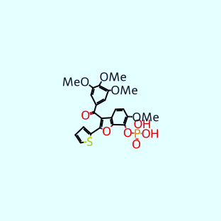 COc1cc(C(=O)c2c(-c3cccs3)oc3c(OP(=O)(O)O)c(OC)ccc23)cc(OC)c1OC